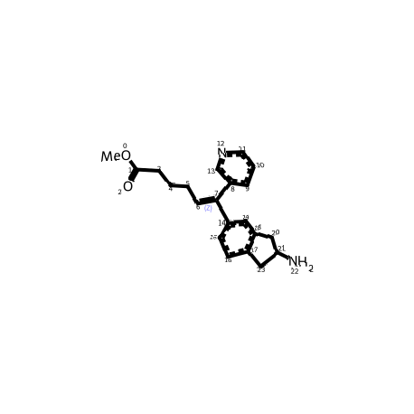 COC(=O)CCC/C=C(\c1cccnc1)c1ccc2c(c1)CC(N)C2